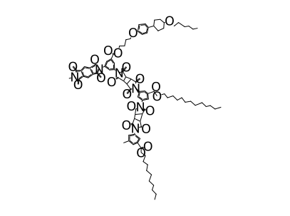 CCCCCCCCCCCCCOC(=O)c1cc(N2C(=O)C3C4C(=O)N(c5cc(C)cc(C(=O)OCCCCCCCCCC)c5)C(=O)C4C3C2=O)cc(N2C(=O)C3C(C2=O)C2C(=O)N(c4cc(C(=O)OCCCCOc5ccc(C6CCC(OCCCCCC)CC6)cc5)cc(-n5c(=O)c6cc7c(=O)n(C)c(=O)c7cc6c5=O)c4)C(=O)C32)c1